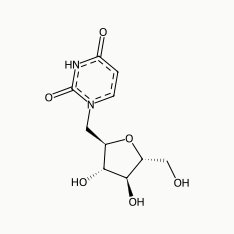 O=c1ccn(C[C@H]2O[C@H](CO)[C@@H](O)[C@@H]2O)c(=O)[nH]1